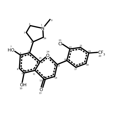 CN1CCC(c2c(O)cc(O)c3c(=O)cc(-c4ccc(C(F)(F)F)cc4Cl)oc23)C1